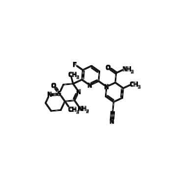 CC1=CC(C#N)=CN(c2ccc(F)c(C3(C)CS4(=O)=NCCCC4(C)C(N)=N3)n2)C1C(N)=O